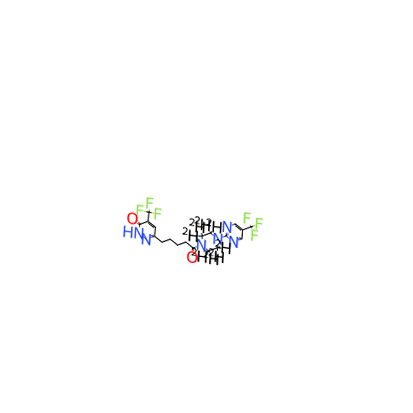 [2H]C1([2H])N(C(=O)CCCCc2cc(C(F)(F)F)c(=O)[nH]n2)C([2H])([2H])C([2H])([2H])N(c2ncc(C(F)(F)F)cn2)C1([2H])[2H]